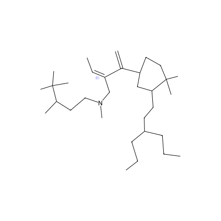 C=C(/C(=C\C)CN(C)CCC(C)C(C)(C)C)C1CCC(C)(C)C(CCC(CCC)CCC)C1